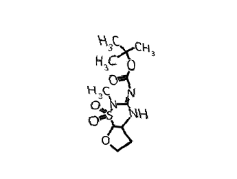 CN1/C(=N\C(=O)OC(C)(C)C)NC2CCOC2S1(=O)=O